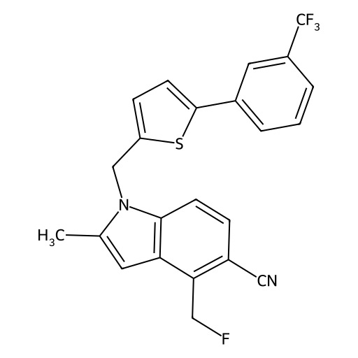 Cc1cc2c(CF)c(C#N)ccc2n1Cc1ccc(-c2cccc(C(F)(F)F)c2)s1